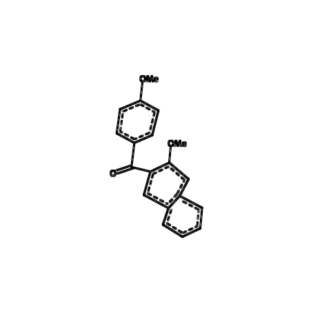 COc1ccc(C(=O)c2cc3ccccc3cc2OC)cc1